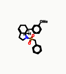 COc1cccc([C@@H]2CCC=C3CCN(S(=O)(=O)Cc4ccccc4)[C@H]32)c1